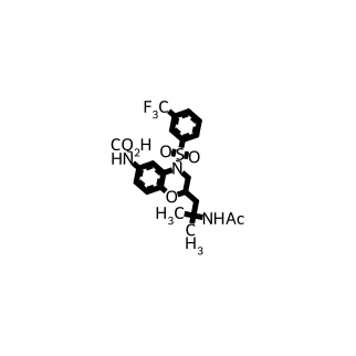 CC(=O)NC(C)(C)CC1CN(S(=O)(=O)c2cccc(C(F)(F)F)c2)c2cc(NC(=O)O)ccc2O1